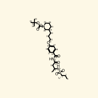 CC[C@H](C)S(=O)(=O)NC(C)CC(=O)NC(=O)c1ccc(OCCCC2CCCN(C(=O)OC(C)(C)C)C2)cc1